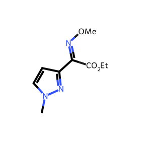 CCOC(=O)C(=NOC)c1ccn(C)n1